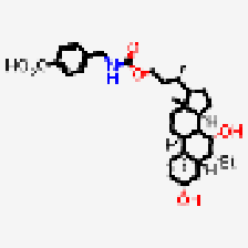 CC[C@H]1[C@@H](O)C2[C@@H]3CC[C@H]([C@H](C)CCOC(=O)NCc4ccc(C(=O)O)cc4)C3(C)CC[C@@H]2[C@]2(C)CC[C@@H](O)C[C@@H]12